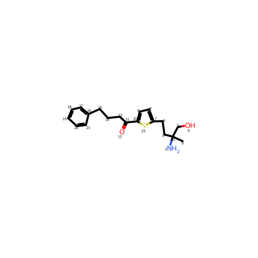 CC(N)(CO)CCc1ccc(C(=O)CCCc2ccccc2)s1